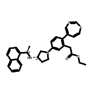 CCOC(=O)Cc1cc(N2CC[C@H](N[C@H](C)c3cccc4ccccc34)C2)ccc1C1=CN=CSC=C1